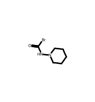 O=C(Br)NN1CCCCC1